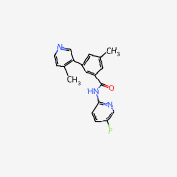 Cc1cc(C(=O)Nc2ccc(F)cn2)cc(-c2cnccc2C)c1